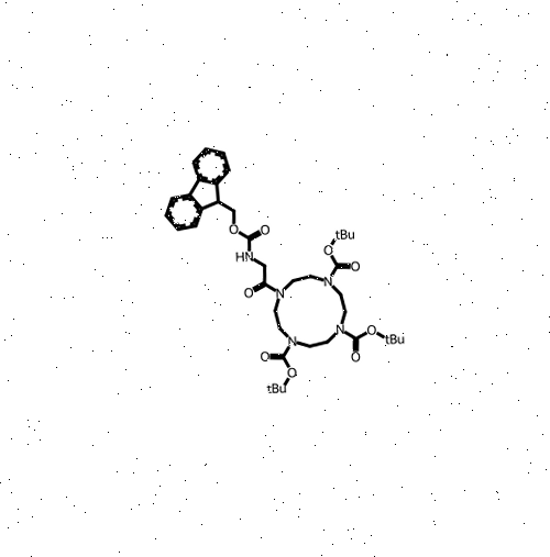 CC(C)(C)OC(=O)N1CCN(C(=O)CNC(=O)OCC2c3ccccc3-c3ccccc32)CCN(C(=O)OC(C)(C)C)CCN(C(=O)OC(C)(C)C)CC1